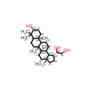 CC1(C)C2CC[C@]3(C)C(CCC4C5[C@H](C(O)CO)CC[C@]5(C(=O)O)CC[C@]43C)[C@@]2(C)CC[C@@H]1O